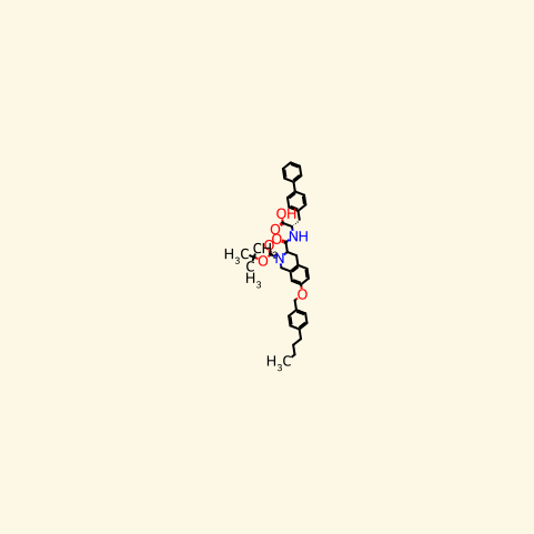 CCCCc1ccc(COc2ccc3c(c2)CN(C(=O)OC(C)(C)C)C(C(=O)N[C@@H](Cc2ccc(-c4ccccc4)cc2)C(=O)O)C3)cc1